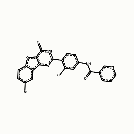 O=C(Nc1ccc(-c2nc3c(oc4ccc(Br)cc43)c(=O)[nH]2)c(Cl)c1)c1cccnc1